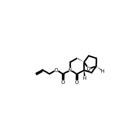 C=CCOC(=O)N1CC[C@@]23CC[C@@H](C[C@@H]2C1=O)O3